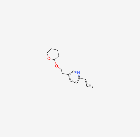 C=Cc1ccc(CCOC2CCCCO2)cn1